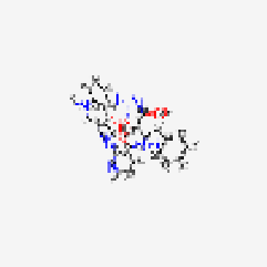 CN(Cc1ccn(-c2ncccc2C(=O)NC(Cc2ccccc2)C(O)C(N)=O)n1)C1CCCCC1